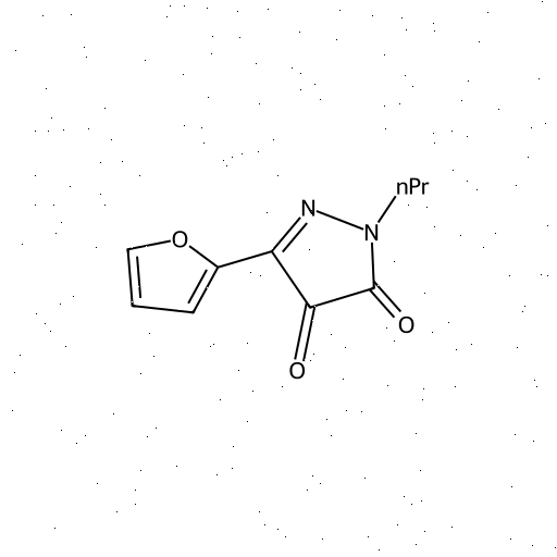 CCCN1N=C(c2ccco2)C(=O)C1=O